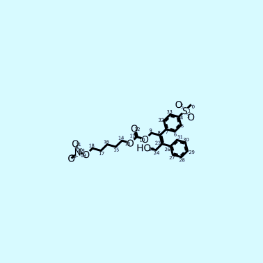 CS(=O)(=O)c1ccc(/C(COC(=O)OCCCCCO[N+](=O)[O-])=C(/CO)c2ccccc2)cc1